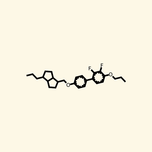 CCCOc1ccc(-c2ccc(OCC3CCC4C(CCC)CCC34)cc2)c(F)c1F